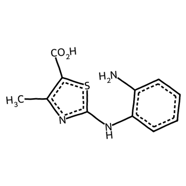 Cc1nc(Nc2ccccc2N)sc1C(=O)O